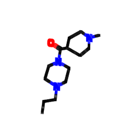 CCCN1CCN(C(=O)C2CCN(C)CC2)CC1